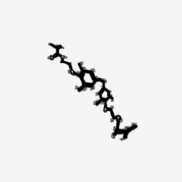 C=C(C)C(=O)OCCOc1c(C)cc(Cc2cc(C)c(OCCOC(=O)C(=C)C)c(C)c2)cc1C